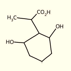 CC(C(=O)O)C1C(O)C[CH]CC1O